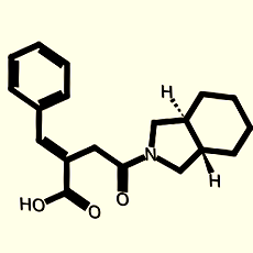 O=C(O)/C(=C/c1ccccc1)CC(=O)N1C[C@H]2CCCC[C@@H]2C1